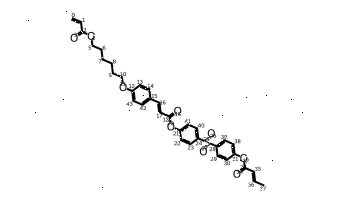 C=CC(=O)OCCCCCCOc1ccc(/C=C/C(=O)Oc2ccc(S(=O)(=O)c3ccc(OC(=O)/C=C/C)cc3)cc2)cc1